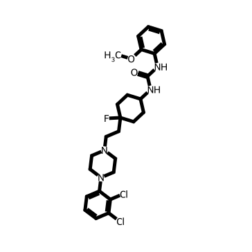 COc1ccccc1NC(=O)NC1CCC(F)(CCN2CCN(c3cccc(Cl)c3Cl)CC2)CC1